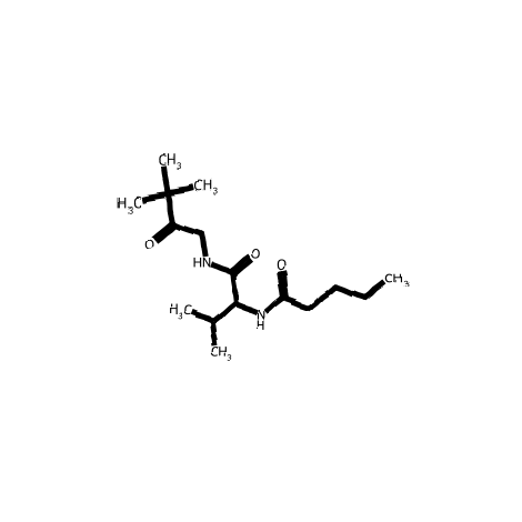 CCCCC(=O)NC(C(=O)NCC(=O)C(C)(C)C)C(C)C